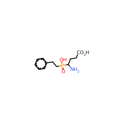 NC(CCC(=O)O)P(=O)(O)CCc1ccccc1